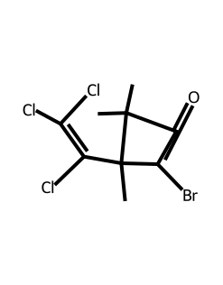 CC1(C)C(=O)C(Br)C1(C)C(Cl)=C(Cl)Cl